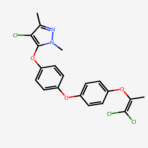 CC(Oc1ccc(Oc2ccc(Oc3c(Cl)c(C)nn3C)cc2)cc1)=C(Cl)Cl